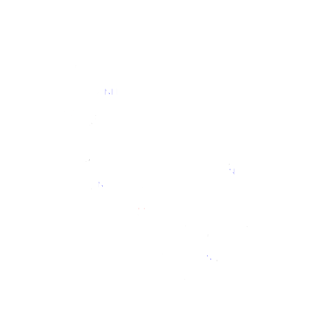 Cc1onc(-c2cccnc2)c1COc1ccc(C(=O)NC(C)C)cn1